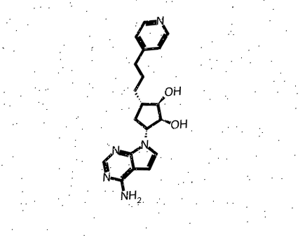 Nc1ncnc2c1ccn2[C@@H]1C[C@H](CCCc2ccncc2)[C@@H](O)[C@H]1O